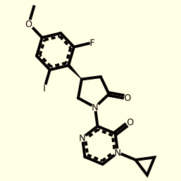 COc1cc(F)c([C@H]2CC(=O)N(c3nccn(C4CC4)c3=O)C2)c(I)c1